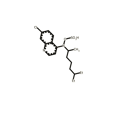 CCC(CC)CCCC(C)N(OS(=O)(=O)O)c1ccnc2cc(Cl)ccc12